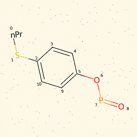 CCCSc1ccc(OP=O)cc1